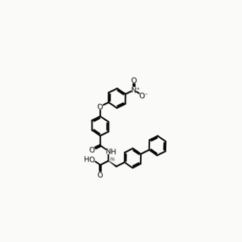 O=C(N[C@@H](Cc1ccc(-c2ccccc2)cc1)C(=O)O)c1ccc(Oc2ccc([N+](=O)[O-])cc2)cc1